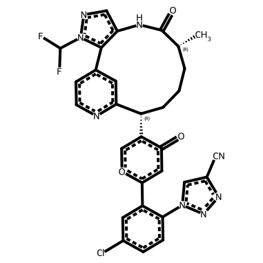 C[C@@H]1CCC[C@H](c2coc(-c3cc(Cl)ccc3-n3cc(C#N)nn3)cc2=O)c2cc(ccn2)-c2c(cnn2C(F)F)NC1=O